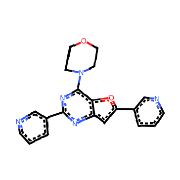 c1cncc(-c2nc(N3CCOCC3)c3oc(-c4cccnc4)cc3n2)c1